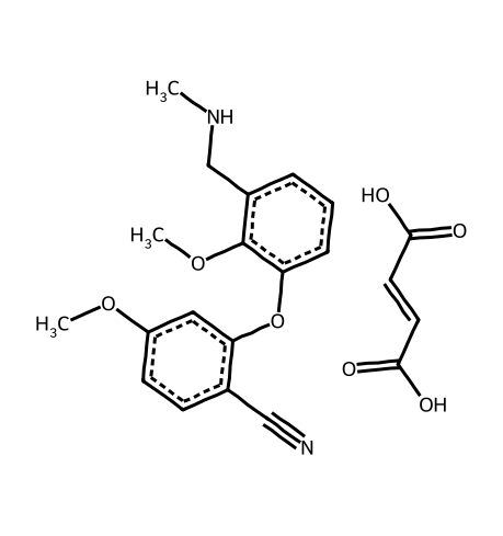 CNCc1cccc(Oc2cc(OC)ccc2C#N)c1OC.O=C(O)C=CC(=O)O